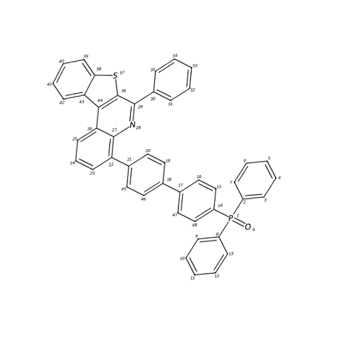 O=P(c1ccccc1)(c1ccccc1)c1ccc(-c2ccc(-c3cccc4c3nc(-c3ccccc3)c3sc5ccccc5c34)cc2)cc1